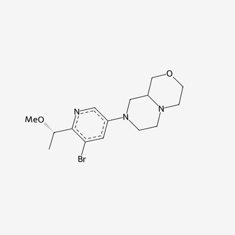 CO[C@@H](C)c1ncc(N2CCN3CCOCC3C2)cc1Br